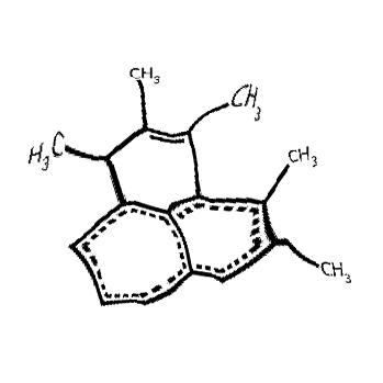 CC1=C(C)C(C)c2cccc3cc(C)c(C)c1c23